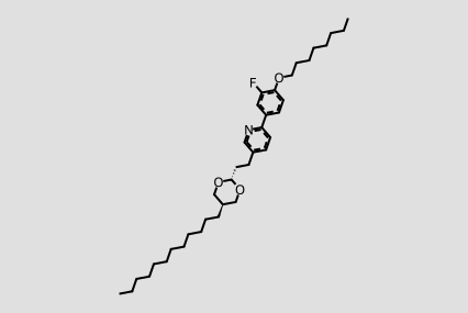 CCCCCCCCCCCC[C@H]1CO[C@H](CCc2ccc(-c3ccc(OCCCCCCCC)c(F)c3)nc2)OC1